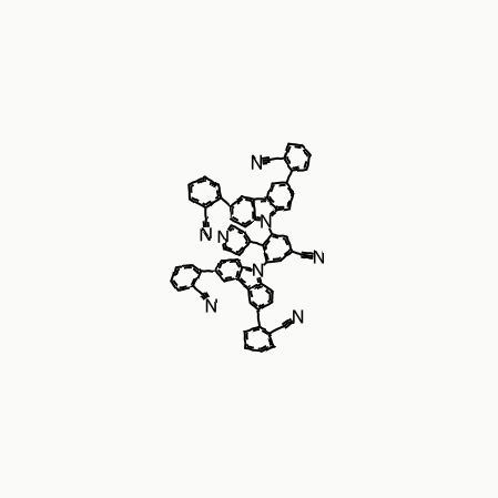 N#Cc1cc(-n2c3ccc(-c4ccccc4C#N)cc3c3cc(-c4ccccc4C#N)ccc32)c(-c2ccncc2)c(-n2c3ccc(-c4ccccc4C#N)cc3c3cc(-c4ccccc4C#N)ccc32)c1